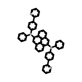 c1ccc(N(c2ccc(-c3ccccn3)cc2)c2cc3cccc4c(N(c5ccccc5)c5ccc(-c6ccccn6)cc5)cc5cccc2c5c34)cc1